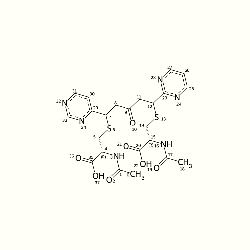 CC(=O)N[C@@H](CSC(CC(=O)CC(SC[C@H](NC(C)=O)C(=O)O)c1ncccn1)c1ccncn1)C(=O)O